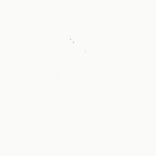 N[C@H](c1ccccc1)[C@H](c1ccccc1)P(c1ccccc1)c1ccccc1